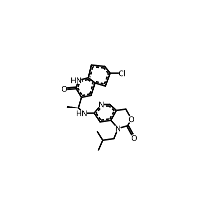 CC(C)CN1C(=O)OCc2cnc(N[C@@H](C)c3cc4cc(Cl)ccc4[nH]c3=O)cc21